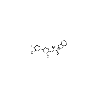 NC(Cc1ccc(-c2ccc(F)c(Cl)c2)cc1Cl)C(=O)N1Cc2ccccc2C1